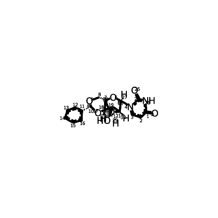 O=c1ccn([C@@H]2O[C@]34CO[C@@H](c5ccccc5)O[C@H]3[C@H](O)[C@H]2OC4)c(=O)[nH]1